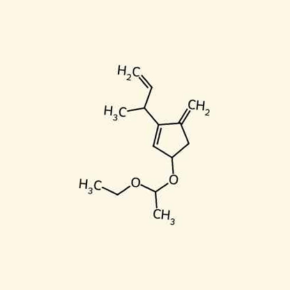 C=CC(C)C1=CC(OC(C)OCC)CC1=C